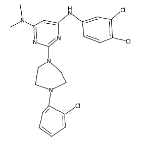 CN(C)c1cc(Nc2ccc(Cl)c(Cl)c2)nc(N2CCN(c3ccccc3Cl)CC2)n1